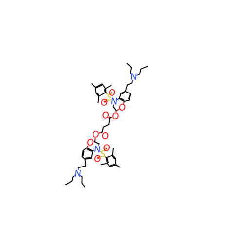 CCCN(CCC)CCc1ccc2c(c1)N(S(=O)(=O)c1c(C)cc(C)cc1C)CC(OC(=O)CCC(=O)OC1CN(S(=O)(=O)c3c(C)cc(C)cc3C)c3cc(CCN(CCC)CCC)ccc3O1)O2